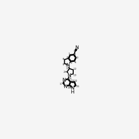 N#Cc1ccc2c(c1)CCN2C1CCN(c2ncnc3[nH]ccc23)C1